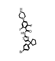 O=C(Nc1nc(C2(c3ccc(Br)cc3)CCCC2)cs1)c1c(F)cc(N2CCNCC2)cc1F